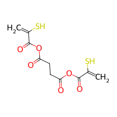 C=C(S)C(=O)OC(=O)CCC(=O)OC(=O)C(=C)S